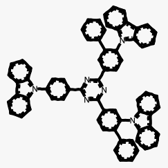 c1ccc(-c2cc(-c3nc(-c4ccc(-n5c6ccccc6c6ccccc65)cc4)nc(-c4ccc(-c5ccccc5)c(-n5c6ccccc6c6ccccc65)c4)n3)ccc2-n2c3ccccc3c3ccccc32)cc1